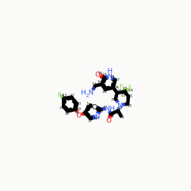 CC(C(=O)Nc1ccc(Oc2ccc(F)cc2)cn1)N1CCC(F)(F)C(c2c[nH]c(=O)c(CN)c2)C1